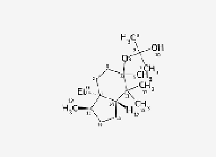 CC[C@]12CCC(C)(OC(C)(C)O)C(C)(C)[C@@H]1CC[C@H]2C